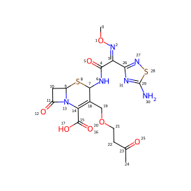 CO/N=C(\C(=O)NC1SC2CC(=O)N2C(C(=O)O)=C1COCCC(C)=O)c1nsc(N)n1